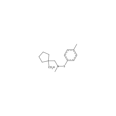 Cc1ccc(SN(C)CC2(C(=O)O)CCCC2)cc1